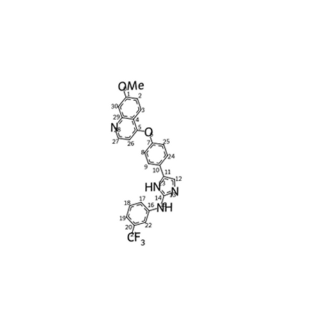 COc1ccc2c(Oc3ccc(-c4cnc(Nc5cccc(C(F)(F)F)c5)[nH]4)cc3)ccnc2c1